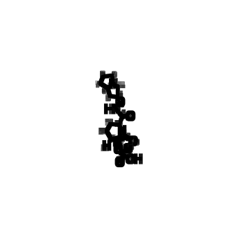 O=C(NOC1CC2CCCN2C1)[C@@H]1CC[C@@H]2CN1C(=O)N2OS(=O)(=O)O